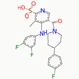 Cc1c(S(=O)(=O)O)ncc(C(=O)N2CCC(c3ccc(F)cc3)CC2)c1Nc1ccc(F)c(F)c1